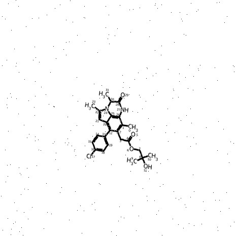 Cc1c(CC(=O)OCC(C)(C)O)c(-c2ccc(Cl)cc2)c2cc(C)n3c2c1NC(=O)C3C